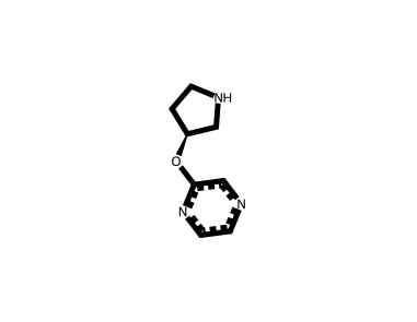 c1cnc(O[C@H]2CCNC2)cn1